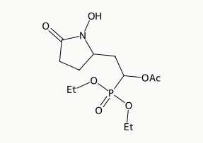 CCOP(=O)(OCC)C(CC1CCC(=O)N1O)OC(C)=O